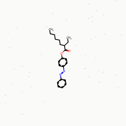 CCCCCCC(CC)C(=O)Oc1ccc(N=Nc2ccccc2)cc1